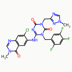 Cn1cnc(Cn2c(=O)nc(Nc3cc4c(=O)n(C)cnc4cc3Cl)n(Cc3cc(F)c(F)cc3F)c2=O)n1